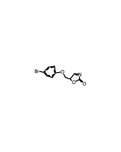 O=C1N=CC(COc2ccc(Br)cc2)O1